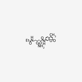 CCC(=O)NCCCC[C@H](OC(N)=O)C(=O)Nc1ccc2c(C)cc(=O)oc2c1